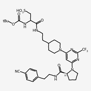 CC(C)(C)OC(=O)NC(CS(=O)(=O)O)C(=O)NCCC1CCN(c2cc(N3CCC[C@H]3C(=O)NCCc3ccc(C#N)cc3)nc(C(F)(F)F)n2)CC1